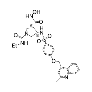 CCNC(=O)N1C[C@H](C(=O)NO)[C@H](NS(=O)(=O)c2ccc(OCc3cc(C)nc4ccccc34)cc2)C1